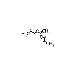 CCCOP(C)OCCC